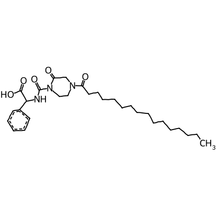 CCCCCCCCCCCCCCCC(=O)N1CCN(C(=O)NC(C(=O)O)c2ccccc2)C(=O)C1